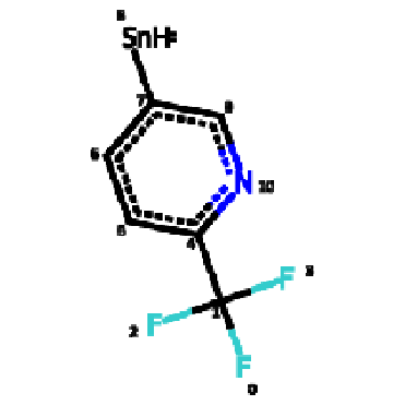 FC(F)(F)c1cc[c]([SnH])cn1